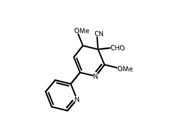 COC1=NC(c2ccccn2)=CC(OC)C1(C#N)C=O